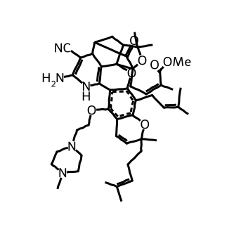 COC(=O)/C(C)=C\CC12OC(C)(C)C3CC(C1=O)C1C(C#N)=C(N)NC4=C1C32Oc1c(CC=C(C)C)c2c(c(OCCN3CCN(C)CC3)c14)C=CC(C)(CCC=C(C)C)O2